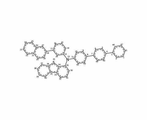 c1ccc(-c2ccc(-c3ccc(N(c4cccc(-c5ccc6ccccc6c5)c4)c4cccc5c4sc4ccccc45)cc3)cc2)cc1